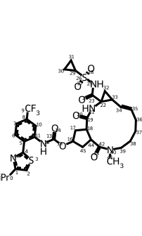 CC(C)c1csc(-c2ccc(C(F)(F)F)cc2NC(=O)OC2CC3C(=O)NC4(C(=O)NS(=O)(=O)C5CC5)CC4/C=C/CCCCN(C)C(=O)C3C2)n1